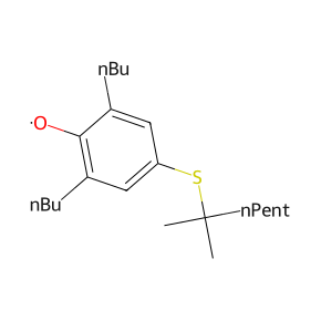 CCCCCC(C)(C)Sc1cc(CCCC)c([O])c(CCCC)c1